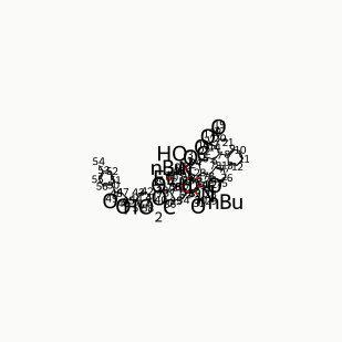 CCCCNC(=O)C(C(CC(c1ccccc1)C1C(=O)OC(=O)C1C)C(=O)O)C(CC1C(=O)N(CCCC)C(=O)C1C(CC(C(=O)O)C(C(=O)Oc1ccc(C(=O)CC(=O)c2ccc(C)cc2)cc1)C(CC)c1ccccc1)c1ccccc1)c1ccccc1